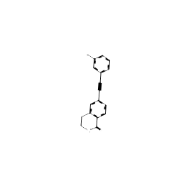 O=C1NCCc2cc(C#Cc3cccc(Cl)c3)ccc21